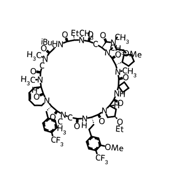 CCO[C@@H]1C[C@H]2C(=O)NC3(CCC3)C(=O)N(C)[C@@H](C3CCCC3)C(=O)N(C)[C@H](C(=O)N(C)CCOC)CC(=O)N(C)[C@@H](CC)C(=O)N[C@@H]([C@@H](C)CC)C(=O)N(C)CC(=O)N(C)[C@H]3C/C=C\CCN(C3=O)[C@@H](Cc3ccc(C(F)(F)F)cc3)C(=O)N(C)CC(=O)N[C@@H](CCc3ccc(C(F)(F)F)c(OC)c3)C(=O)N2C1